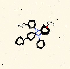 Cc1cccc(N(c2cccc(C)c2)C2(N(c3ccccc3)c3ccccc3)C=CC(c3ccccc3)=CC2)c1